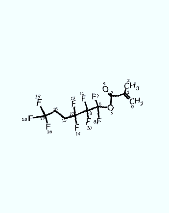 C=C(C)C(=O)OC(F)(F)C(F)(F)C(F)(F)CCC(F)(F)F